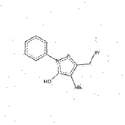 CCCCc1c(CC(C)C)nn(-c2ccccc2)c1O